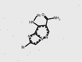 CC(C)Nc1c(C(N)=O)cnn2cc(Br)nc12